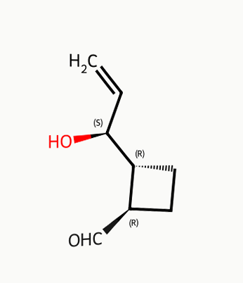 C=C[C@H](O)[C@@H]1CC[C@H]1C=O